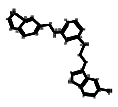 Oc1ccc2[nH]cc(CCNc3ccnc(NCc4ccc5cc[nH]c5c4)n3)c2c1